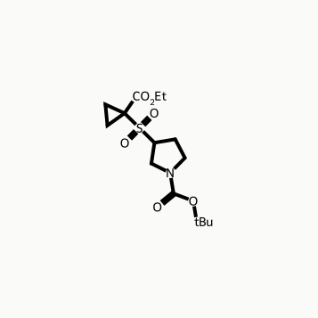 CCOC(=O)C1(S(=O)(=O)C2CCN(C(=O)OC(C)(C)C)C2)CC1